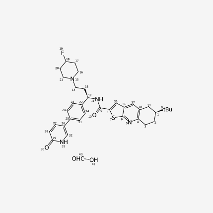 CC(C)(C)[C@H]1CCc2nc3sc(C(=O)N[C@H](CCN4CCC(F)CC4)c4ccc(-c5ccc(=O)[nH]c5)cc4)cc3cc2C1.O=CO